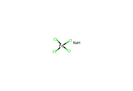 [Cl][Pd]([Cl])([Cl])[Cl].[NaH]